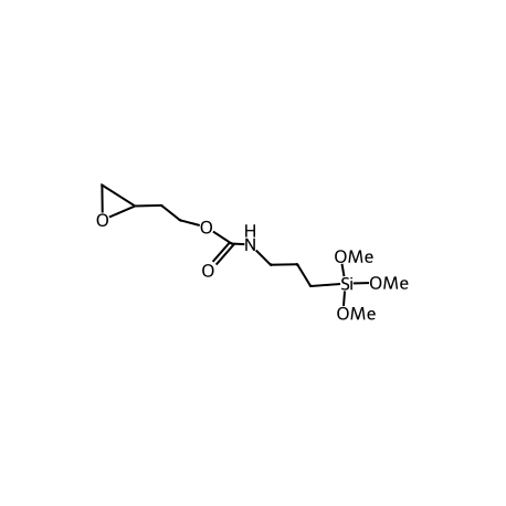 CO[Si](CCCNC(=O)OCCC1CO1)(OC)OC